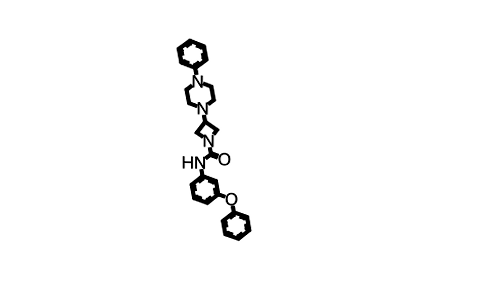 O=C(Nc1cccc(Oc2ccccc2)c1)N1CC(N2CCN(c3ccccc3)CC2)C1